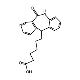 O=C(O)CCCCCC1c2ccccc2NC(=O)c2cnccc21